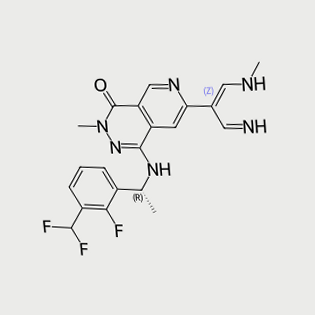 CN/C=C(\C=N)c1cc2c(N[C@H](C)c3cccc(C(F)F)c3F)nn(C)c(=O)c2cn1